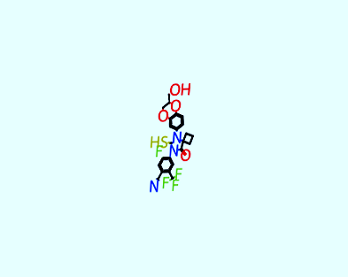 N#Cc1cc(F)c(N2C(=O)C3(CCC3)N(c3ccc4c(c3)OC[C@@H](CO)O4)C2S)cc1C(F)(F)F